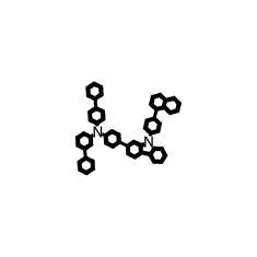 c1ccc(-c2ccc(N(c3ccc(-c4ccc5c6ccccc6n(-c6ccc(-c7cccc8ccccc78)cc6)c5c4)cc3)c3cccc(-c4ccccc4)c3)cc2)cc1